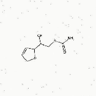 NC(=O)OCC(O)C1C=CCO1